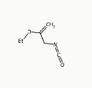 C=C(CN=C=O)OCC